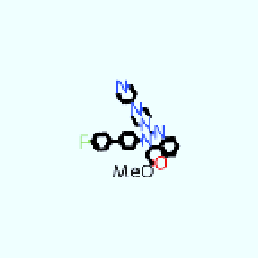 COC(=O)CC1c2ccccc2N=C(N2CCN(c3ccncc3)CC2)N1c1ccc(-c2ccc(F)cc2)cc1